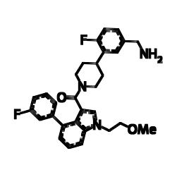 COCCn1cc(C(=O)N2CCC(c3cc(CN)ccc3F)CC2)c2c(-c3cccc(F)c3)cccc21